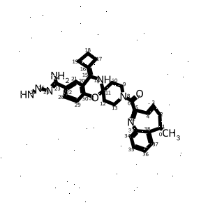 CC1C/C=C/C(C(=O)N2CCC3(CC2)NC(=C2CCC2)c2cc(/C(N)=N/N=N)ccc2O3)=N\c2ccccc21